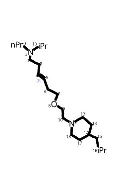 CCCN(CC/C=C/CCOCCN1CCC(CC(C)C)CC1)C(C)C